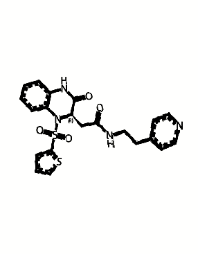 O=C(C[C@@H]1C(=O)Nc2ccccc2N1S(=O)(=O)c1cccs1)NCCc1ccncc1